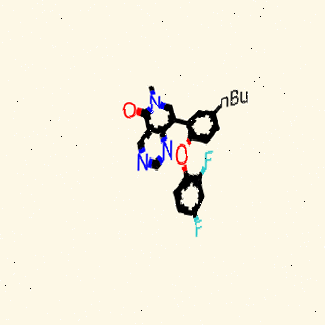 CCCCc1ccc(Oc2ccc(F)cc2F)c(-c2cn(C)c(=O)c3cncnc23)c1